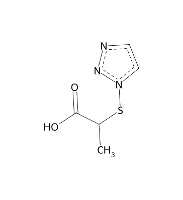 CC(Sn1ccnn1)C(=O)O